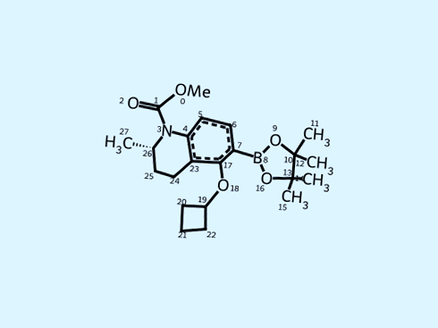 COC(=O)N1c2ccc(B3OC(C)(C)C(C)(C)O3)c(OC3CCC3)c2CC[C@@H]1C